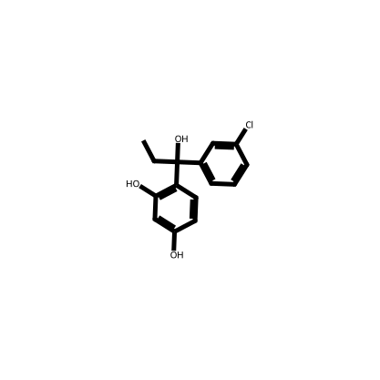 CCC(O)(c1cccc(Cl)c1)c1ccc(O)cc1O